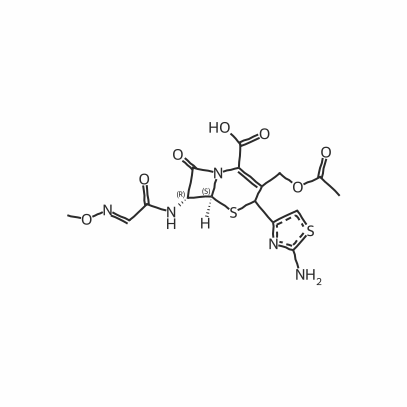 CON=CC(=O)N[C@@H]1C(=O)N2C(C(=O)O)=C(COC(C)=O)C(c3csc(N)n3)S[C@@H]12